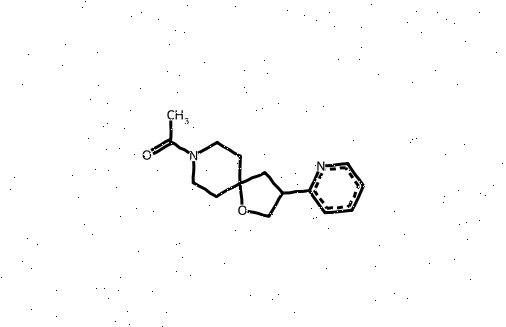 CC(=O)N1CCC2(CC1)CC(c1ccccn1)CO2